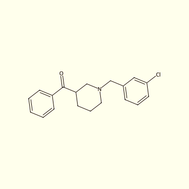 O=C(c1ccccc1)C1CCCN(Cc2cccc(Cl)c2)C1